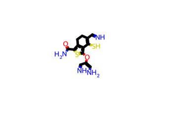 N=CC1=C(S)c2c(O/C(C=N)=C/N)sc(C(N)=O)c2CC1